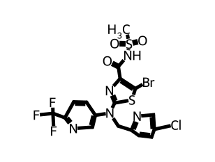 CS(=O)(=O)NC(=O)c1nc(N(Cc2ccc(Cl)cn2)c2ccc(C(F)(F)F)nc2)sc1Br